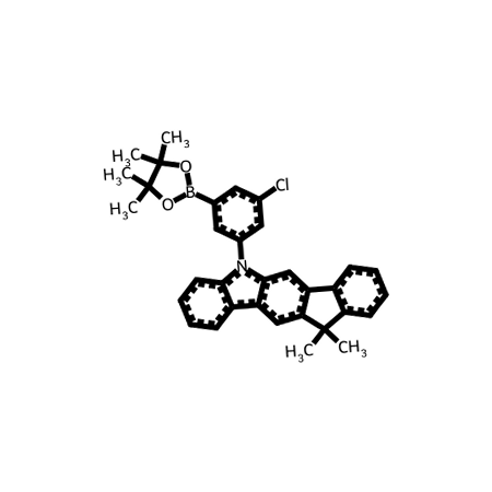 CC1(C)c2ccccc2-c2cc3c(cc21)c1ccccc1n3-c1cc(Cl)cc(B2OC(C)(C)C(C)(C)O2)c1